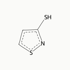 Sc1ccsn1